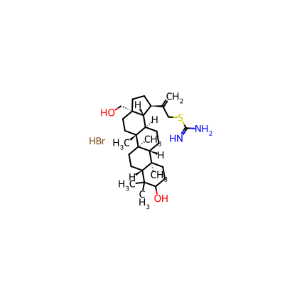 Br.C=C(CSC(=N)N)[C@@H]1CC[C@]2(CO)CC[C@]3(C)[C@H](CC[C@@H]4[C@@]5(C)CCC(O)C(C)(C)[C@@H]5CC[C@]43C)[C@@H]12